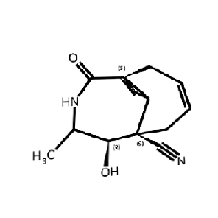 CC1NC(=O)[C@@]23CC=CC[C@@](C#N)(C2CCCC3)[C@H]1O